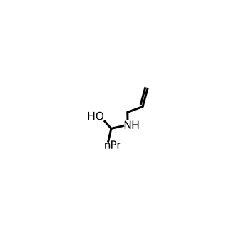 C=CCNC(O)CCC